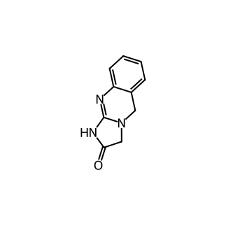 O=C1CN2Cc3ccccc3N=C2N1